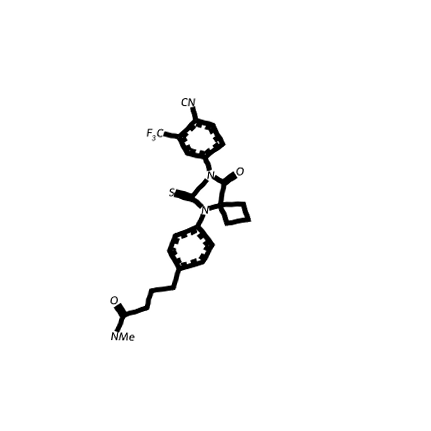 [C-]#[N+]c1ccc(N2C(=O)C3(CCC3)N(c3ccc(CCCC(=O)NC)cc3)C2=S)cc1C(F)(F)F